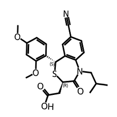 COc1ccc([C@H]2S[C@H](CC(=O)O)C(=O)N(CC(C)C)c3ccc(C#N)cc32)c(OC)c1